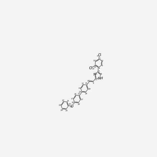 Clc1ccc(-c2c[nH]c(C=Cc3ccc(-c4ccc(Oc5ccccc5)cc4)cc3)n2)c(Cl)c1